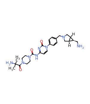 CC(C)(N)C(=O)N1CCN(C(=O)Nc2ccn(-c3ccc(CN4C[C@@H]5[C@@H](CN)[C@@H]5C4)cc3)c(=O)n2)CC1